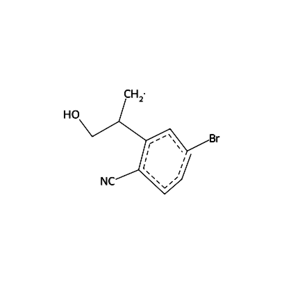 [CH2]C(CO)c1cc(Br)ccc1C#N